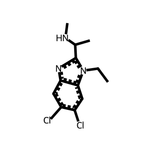 CCn1c(C(C)NC)nc2cc(Cl)c(Cl)cc21